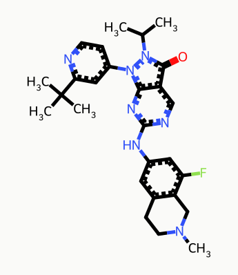 CC(C)n1c(=O)c2cnc(Nc3cc(F)c4c(c3)CCN(C)C4)nc2n1-c1ccnc(C(C)(C)C)c1